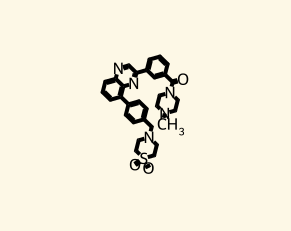 CN1CCN(C(=O)c2cccc(-c3cnc4cccc(-c5ccc(CN6CCS(=O)(=O)CC6)cc5)c4n3)c2)CC1